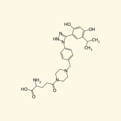 CC(C)c1cc(-c2n[nH]n2-c2ccc(CN3CCN(C(=O)CCC(N)C(=O)O)CC3)cc2)c(O)cc1O